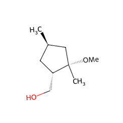 CO[C@@]1(C)C[C@H](C)C[C@H]1CO